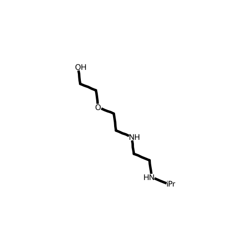 CC(C)NCCNCCOCCO